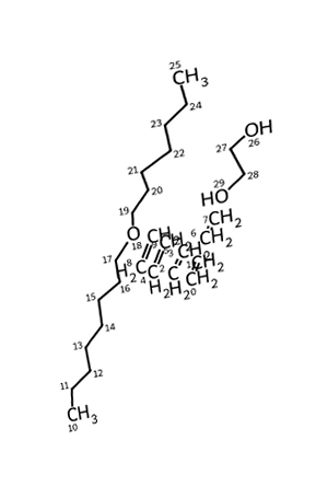 C=C.C=C.C=C.C=C.C=C.CCCCCCCCOCCCCCCC.OCCO